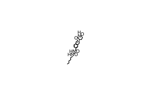 CCCCCCNC(=O)NC(=O)c1ccc2c(c1)CN(C1CCC(=O)NC1=O)C2